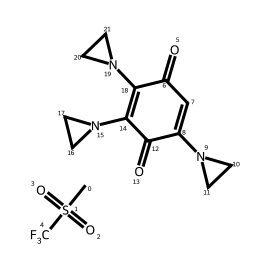 CS(=O)(=O)C(F)(F)F.O=C1C=C(N2CC2)C(=O)C(N2CC2)=C1N1CC1